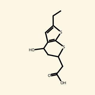 CCc1cc2c(s1)SC(CC(=O)O)CC2O